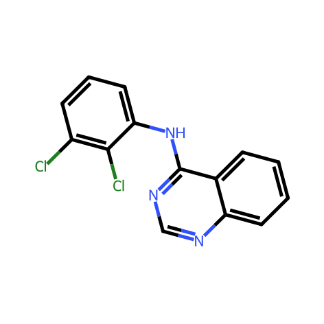 Clc1cccc(Nc2ncnc3ccccc23)c1Cl